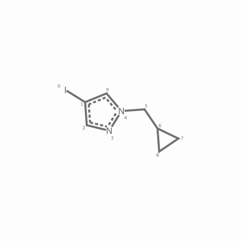 Ic1cnn(CC2CC2)c1